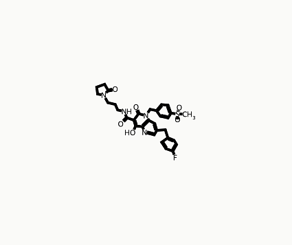 CS(=O)(=O)c1ccc(Cn2c(=O)c(C(=O)NCCCN3CCCC3=O)c(O)c3ncc(Cc4ccc(F)cc4)cc32)cc1